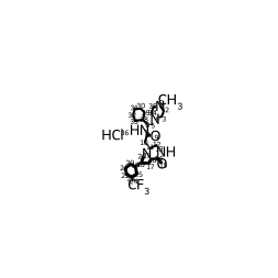 CN1CCN(C[C@@H](NC(=O)C[C@H]2CNC(=O)c3cc(-c4cccc(C(F)(F)F)c4)cn32)C2CCCCC2)CC1.Cl